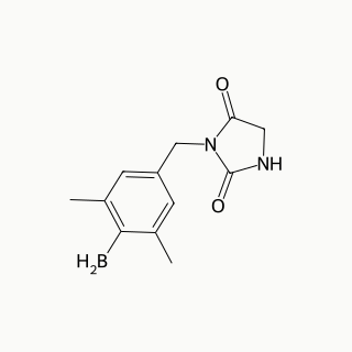 Bc1c(C)cc(CN2C(=O)CNC2=O)cc1C